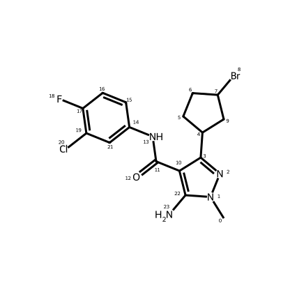 Cn1nc(C2CCC(Br)C2)c(C(=O)Nc2ccc(F)c(Cl)c2)c1N